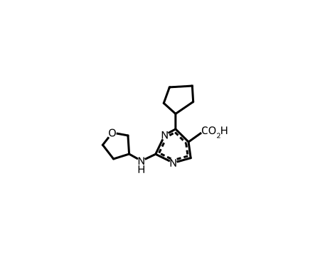 O=C(O)c1cnc(NC2CCOC2)nc1C1CCCC1